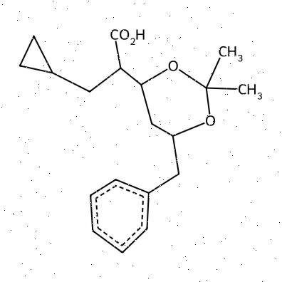 CC1(C)OC(Cc2ccccc2)CC(C(CC2CC2)C(=O)O)O1